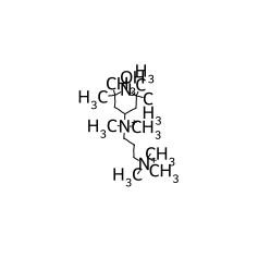 CC1(C)CC([N+](C)(C)CCC[N+](C)(C)C)CC(C)(C)N1O